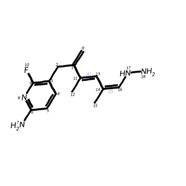 C=C(Cc1ccc(N)nc1F)/C(C)=C/C(C)=C\NN